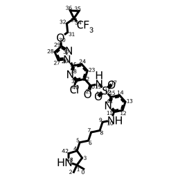 CC1(C)CC(CCCCCNc2cccc(S(=O)(=O)NC(=O)c3ccc(-n4ccc(OCCC5(C(F)(F)F)CC5)n4)nc3Cl)n2)CN1